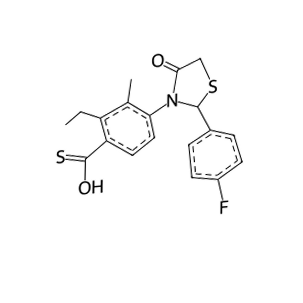 CCc1c(C(O)=S)ccc(N2C(=O)CSC2c2ccc(F)cc2)c1C